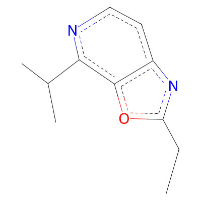 CCc1nc2ccnc(C(C)C)c2o1